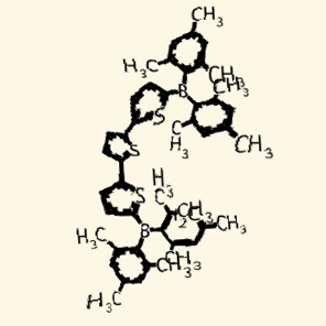 C=C(C)/C=C(/C)C(B(c1ccc(-c2ccc(-c3ccc(B(c4c(C)cc(C)cc4C)c4c(C)cc(C)cc4C)s3)s2)s1)c1c(C)cc(C)cc1C)=C(C)C